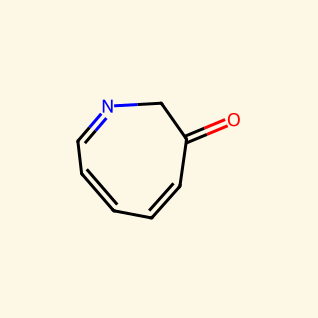 O=C1C=CC=CC=NC1